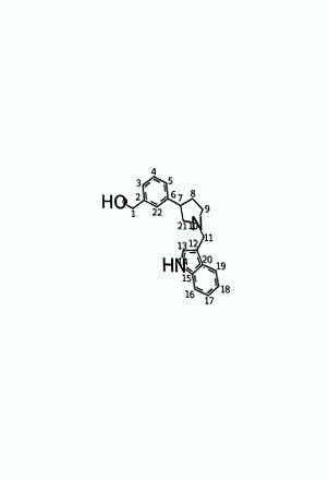 OCc1cccc(C2CCN(Cc3c[nH]c4ccccc34)C2)c1